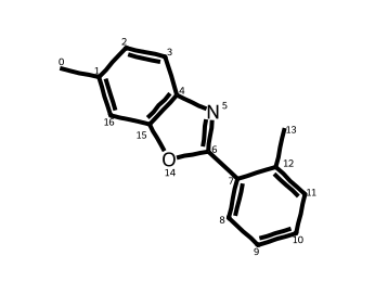 Cc1ccc2nc(-c3ccccc3C)oc2c1